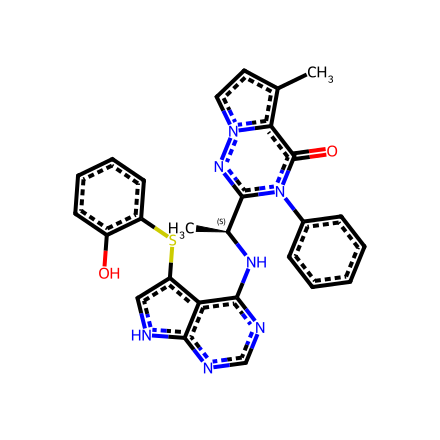 Cc1ccn2nc([C@H](C)Nc3ncnc4[nH]cc(Sc5ccccc5O)c34)n(-c3ccccc3)c(=O)c12